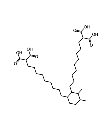 CC1CCC(CCCCCCCCCC(C(=O)O)C(=O)O)C(CCCCCCCCCC(C(=O)O)C(=O)O)C1C